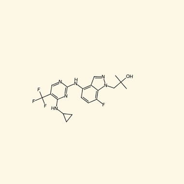 CC(C)(O)Cn1ncc2c(Nc3ncc(C(F)(F)F)c(NC4CC4)n3)ccc(F)c21